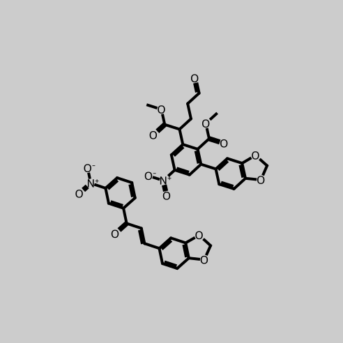 COC(=O)c1c(-c2ccc3c(c2)OCO3)cc([N+](=O)[O-])cc1C(CCC=O)C(=O)OC.O=C(C=Cc1ccc2c(c1)OCO2)c1cccc([N+](=O)[O-])c1